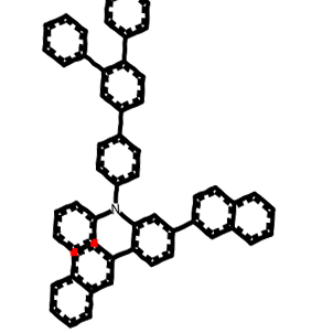 c1ccc(-c2ccc(-c3ccc(N(c4ccccc4)c4cc(-c5ccc6ccccc6c5)ccc4-c4ccc5ccccc5c4)cc3)cc2-c2ccccc2)cc1